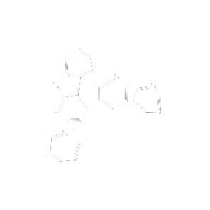 c1ccc2c(c1)[nH]c1ccccc12.c1ccncc1.c1ccncc1.c1ccncc1